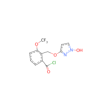 O=C(Cl)c1cccc(OC(F)(F)F)c1COc1ccn(O)n1